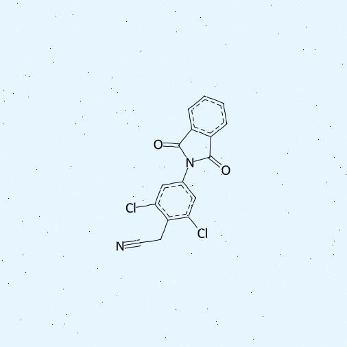 N#CCc1c(Cl)cc(N2C(=O)c3ccccc3C2=O)cc1Cl